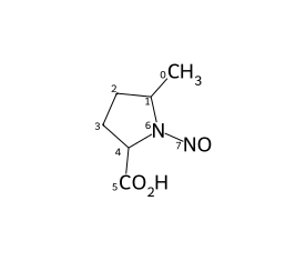 CC1CCC(C(=O)O)N1N=O